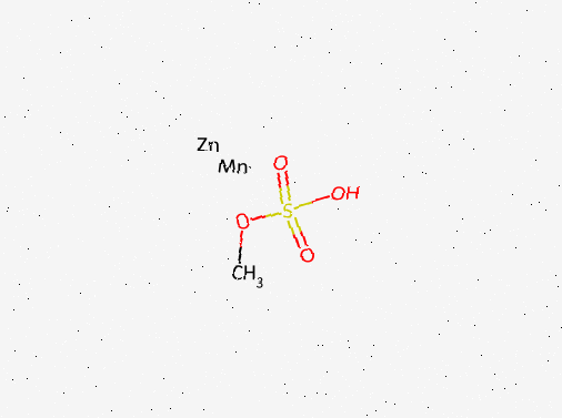 COS(=O)(=O)O.[Mn].[Zn]